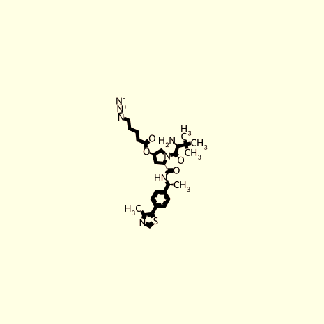 Cc1ncsc1-c1ccc([C@H](C)NC(=O)[C@@H]2C[C@@H](OC(=O)CCCCN=[N+]=[N-])CN2C(=O)[C@@H](N)C(C)(C)C)cc1